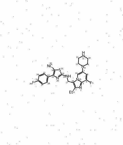 CCc1nc2c(F)cc(N3CCNCC3)cn2c1CNc1nc(-c2ccc(F)cc2)c(C#N)s1